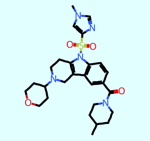 CC1CCN(C(=O)c2ccc3c(c2)c2c(n3S(=O)(=O)c3cn(C)cn3)CCN(C3CCOCC3)C2)CC1